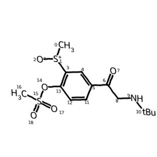 C[S+]([O-])c1cc(C(=O)CNC(C)(C)C)ccc1OS(C)(=O)=O